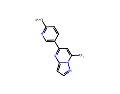 COc1ccc(-c2cc(C(F)(F)F)n3nccc3n2)cn1